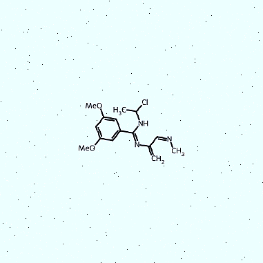 C=C(/C=N\C)/N=C(\NC(C)Cl)c1cc(OC)cc(OC)c1